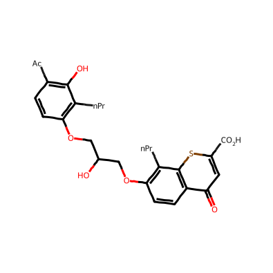 CCCc1c(OCC(O)COc2ccc3c(=O)cc(C(=O)O)sc3c2CCC)ccc(C(C)=O)c1O